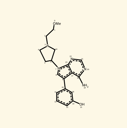 COCCN1CCC(n2cc(-c3cccc(O)c3)c3c(N)ncnc32)C1